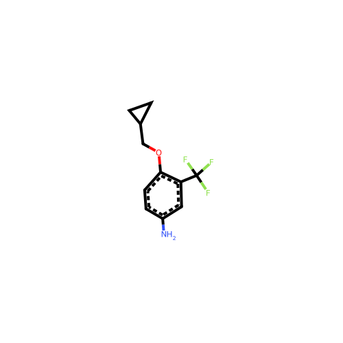 Nc1ccc(OCC2CC2)c(C(F)(F)F)c1